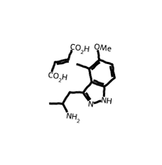 COc1ccc2[nH]nc(CC(C)N)c2c1C.O=C(O)/C=C/C(=O)O